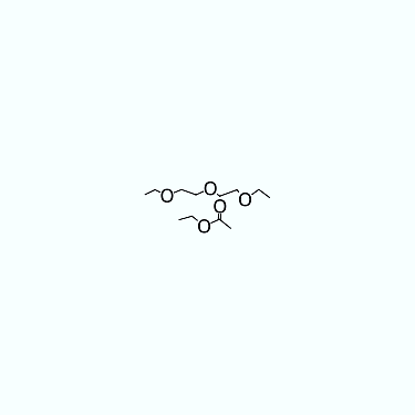 CCOC(C)=O.CCOCCOCCOCC